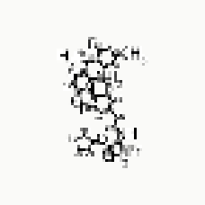 C=C(c1ccc(C)cc1F)c1ccc(=O)n(-c2c(F)cc(CCN[C@H](C(=C)OC3CCCC3)C(C)C)cc2F)c1N